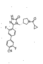 N#Cc1ccc(-c2ccc(-c3n[nH]c(=O)n3C[C@@H]3CCN(C(=O)C4CC4)C3)c(F)c2)cc1F